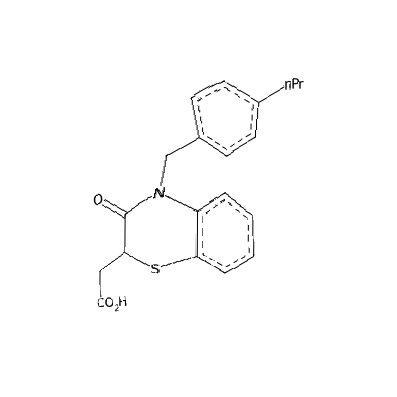 CCCc1ccc(CN2C(=O)C(CC(=O)O)Sc3ccccc32)cc1